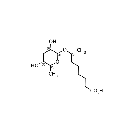 C[C@H](CCCCCC(=O)O)O[C@@H]1O[C@@H](C)[C@H](O)C[C@H]1O